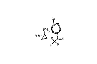 FC(c1ccc(Br)cc1)C(F)(F)F.NC1CC1.[H+].[K+]